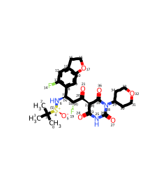 CC(C)(C)[S@@+]([O-])N[C@@H](c1cc2c(cc1F)CCO2)[C@@H](F)C(=O)[C@@H]1C(=O)NC(=O)N(C2CCOCC2)C1=O